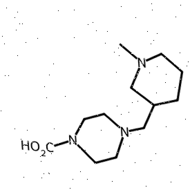 CN1CCCC(CN2CCN(C(=O)O)CC2)C1